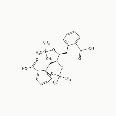 C[Si](C)(C)O[C@@H](Cc1ccccc1C(=O)O)[C@H](Cc1ccccc1C(=O)O)O[Si](C)(C)C